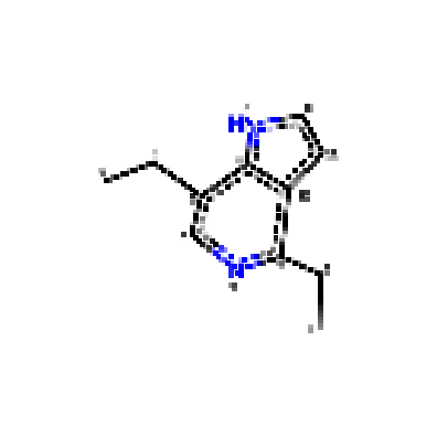 CCc1ncc(CC)c2[nH]ccc12